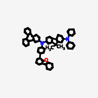 CC1(C)c2cc(N(c3ccccc3)c3ccccc3)ccc2-c2ccc(N(c3ccc(-c4cccc5c4oc4ccccc45)cc3)c3ccc4c5ccccc5c5ccccc5c4c3)cc21